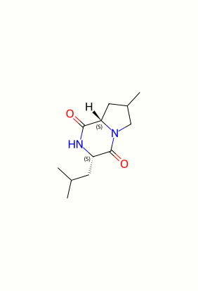 CC(C)C[C@@H]1NC(=O)[C@@H]2CC(C)CN2C1=O